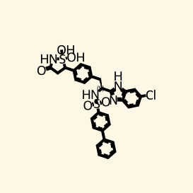 O=C1CC(c2ccc(C[C@H](NS(=O)(=O)c3ccc(-c4ccccc4)cc3)c3nc4ccc(Cl)cc4[nH]3)cc2)S(O)(O)N1